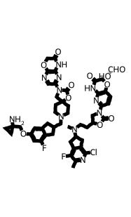 Cc1nc(Cl)c2c(c1F)CC(N(C)CCC1CN(c3ccc4c(n3)NC(=O)CO4)C(=O)O1)C2.NC1(COc2cc(F)c3c(c2)CC(CN2CCC4(CC2)CN(c2cnc5c(n2)NC(=O)CO5)C(=O)O4)C3)CC1.O=CO